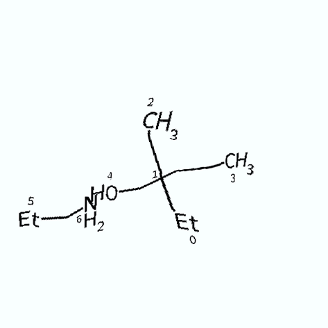 CCC(C)(C)O.CCN